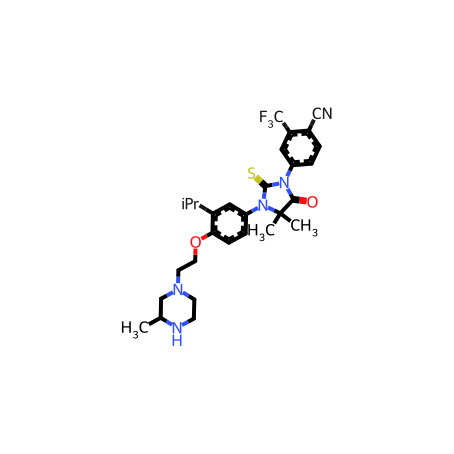 CC1CN(CCOc2ccc(N3C(=S)N(c4ccc(C#N)c(C(F)(F)F)c4)C(=O)C3(C)C)cc2C(C)C)CCN1